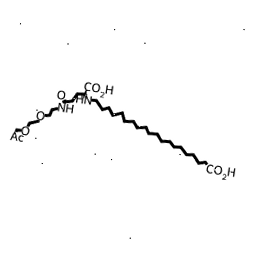 CC(=O)COCCOCCNC(=O)CC[C@H](NCCCCCCCCCCCCCCCCCCCC(=O)O)C(=O)O